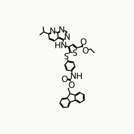 CCOC(=O)c1cc(Nc2ncnc3nc(C(C)C)ccc23)c(Sc2ccc(NC(=O)OCC3c4ccccc4-c4ccccc43)cc2)s1